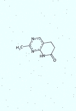 Cc1ncc2c(n1)NC(=O)CC2